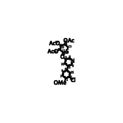 COc1ccc(-c2cncc(O[C@@H]3SC[C@@H](OC(C)=O)[C@H](OC(C)=O)[C@H]3OC(C)=O)c2)cc1Cl